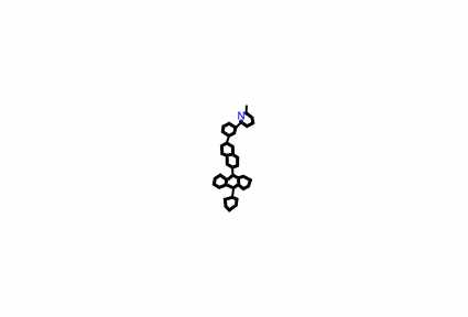 Cc1cccc(-c2cccc(-c3ccc4cc(-c5c6ccccc6c(-c6ccccc6)c6ccccc56)ccc4c3)c2)n1